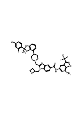 Cc1cc(NC(=O)c2ccc3c(c2)nc(CN2CCC(c4cccc5c4OC(C)(c4ccc(Cl)cc4F)O5)CC2)n3CC2CCO2)cc2c(C(F)(F)F)n[nH]c12